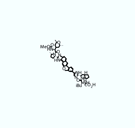 CC[C@H](C)[C@H](NC(=O)O)C(=O)N1[C@H](c2ncc(-c3ccc4c(c3)COc3cc5c(ccc6nc([C@@H]7CC[C@H](C)N7C(=O)[C@@H](NC(=O)OC)C7C[C@@H](C)O[C@H](C)C7)[nH]c65)cc3-4)[nH]2)C[C@@H]2CCC[C@@H]21